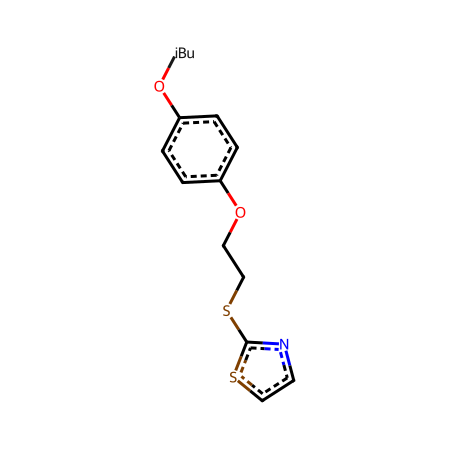 CCC(C)Oc1ccc(OCCSc2nccs2)cc1